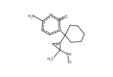 CCPC1(C)C=C1C1(n2ccc(N)nc2=O)CCCCC1